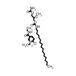 CCCCCCCCCCCCCCCCCCNC(=O)OCC(COC(N)=O)OC.CCNC(=O)c1ccc(Cl)[n+](CC)c1.[I-]